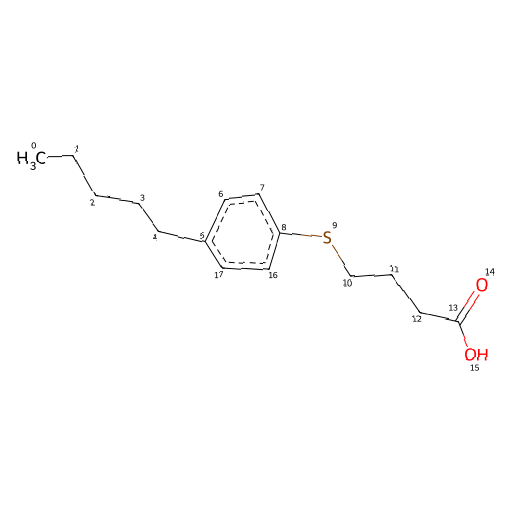 CCCCCc1ccc(SCCCC(=O)O)cc1